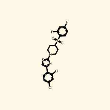 O=S(=O)(c1ccc(F)cc1F)C1CCN(c2nc(-c3ccc(Cl)cc3Cl)cs2)CC1